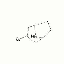 CCC(C)C1CC2CCC(C1)N2